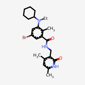 CCN(c1cc(Br)cc(C(=O)NCc2c(C)cc(C)[nH]c2=O)c1C)C1CCCCC1